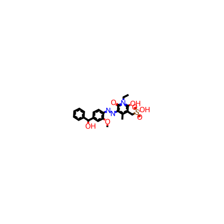 CCn1c(O)c(CS(=O)(=O)O)c(C)c(/N=N/c2ccc(C(O)c3ccccc3)cc2OC)c1=O